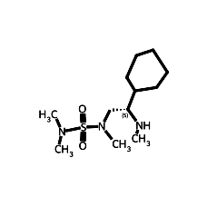 CN[C@H](CN(C)S(=O)(=O)N(C)C)C1CCCCC1